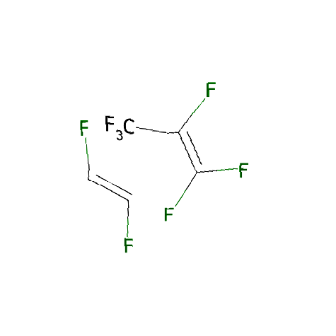 FC(F)=C(F)C(F)(F)F.FC=CF